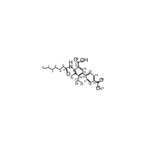 CCCCCCC(=O)Nc1c(C(=O)O)cc(-c2ccc(C(=O)OC)cc2)c(C(C)C)c1C